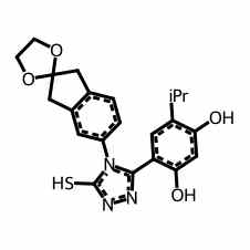 CC(C)c1cc(-c2nnc(S)n2-c2ccc3c(c2)CC2(C3)OCCO2)c(O)cc1O